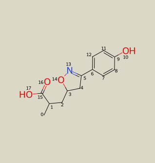 CC(CC1CC(c2ccc(O)cc2)=NO1)C(=O)O